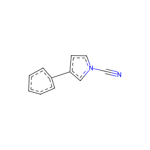 N#Cn1ccc(-c2ccccc2)c1